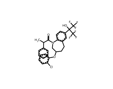 CC(C(=O)N1CC(Oc2ccccc2Cl)CCc2cc(C(O)(C(F)(F)F)C(F)(F)F)ccc21)c1ccccc1